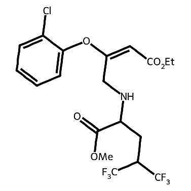 CCOC(=O)C=C(CNC(CC(C(F)(F)F)C(F)(F)F)C(=O)OC)Oc1ccccc1Cl